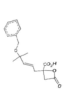 CC(C)(/C=C/CC1(C(=O)O)CC(=O)O1)OCc1ccccc1